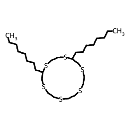 CCCCCCCCC1CSCCSCCSCCSCC(CCCCCCCC)SCCS1